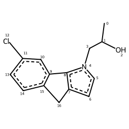 CC(O)Cn1ccc2c1-c1cc(Cl)ccc1C2